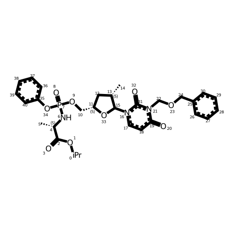 CC(C)OC(=O)[C@H](C)NP(=O)(OC[C@@H]1C[C@H](C)C(n2ccc(=O)n(COCc3ccccc3)c2=O)O1)Oc1ccccc1